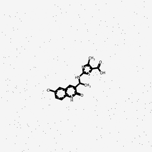 Cc1nc(NC(C)c2cc3cc(Cl)ccc3[nH]c2=O)sc1C(=O)O